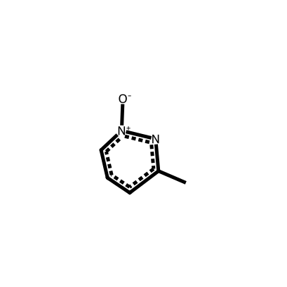 Cc1ccc[n+]([O-])n1